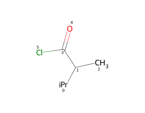 CC(C)C(C)C(=O)Cl